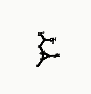 CCC(O)CN1C(C)C1CC